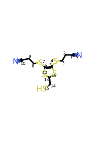 N#CCCSC1=C(SCCC#N)SC(CS)S1